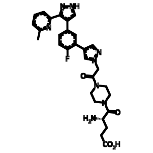 Cc1cccc(-c2n[nH]cc2-c2ccc(F)c(-c3cnn(CC(=O)N4CCN(C(=O)[C@@H](N)CCC(=O)O)CC4)c3)c2)n1